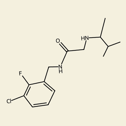 CC(C)C(C)NCC(=O)NCc1cccc(Cl)c1F